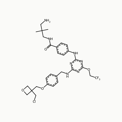 CC(C)(CN)CNC(=O)c1ccc(Nc2nc(NCc3ccc(OCC4(CCl)COC4)cc3)nc(OCC(F)(F)F)n2)cc1